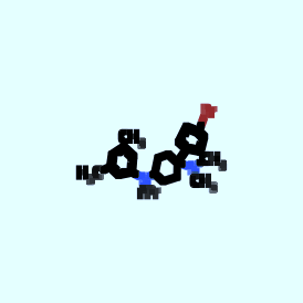 CCCN(c1cc(C)cc(C)c1)C1CCC(c2ccc(Br)cc2)(N(C)C)CC1